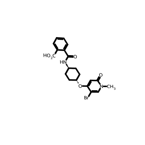 Cn1cc(Br)c(O[C@H]2CC[C@H](NC(=O)c3ccccc3C(=O)O)CC2)cc1=O